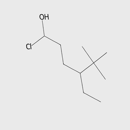 CCC(CCC(O)Cl)C(C)(C)C